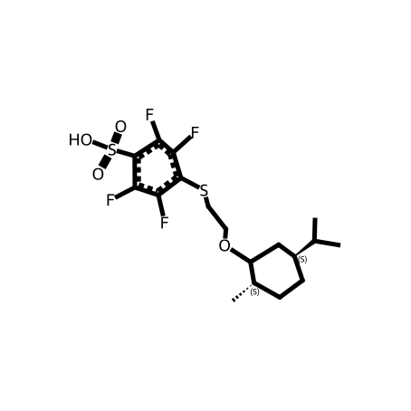 CC(C)[C@H]1CC[C@H](C)C(OCCSc2c(F)c(F)c(S(=O)(=O)O)c(F)c2F)C1